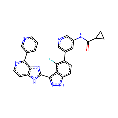 O=C(Nc1cncc(-c2ccc3[nH]nc(-c4nc5c(-c6cccnc6)nccc5[nH]4)c3c2F)c1)C1CC1